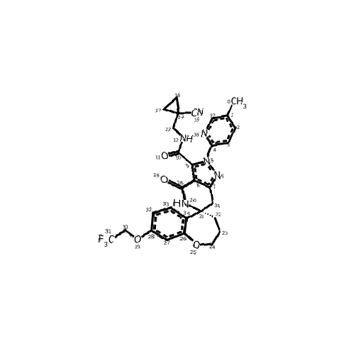 Cc1ccc(-n2nc3c(c2C(=O)NCC2(C#N)CC2)C(=O)N[C@@]2(CCCOc4cc(OCC(F)(F)F)ccc42)C3)nc1